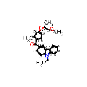 CCn1c2ccccc2c2cc(C(=O)c3ccc(OC(C)COC)cc3C)ccc21